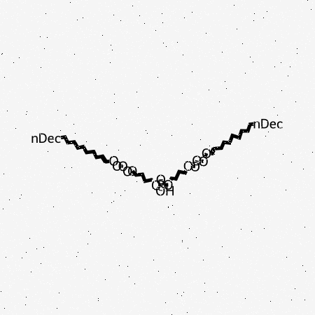 CCCCCCCCCCCCCCCCCCC=COOOOOCCCCOP(=O)(O)OCCCCOOOOOC=CCCCCCCCCCCCCCCCCCC